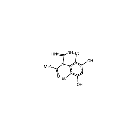 CCc1c(O)cc(O)c(CC)c1N(C(=N)N)C(=O)NC